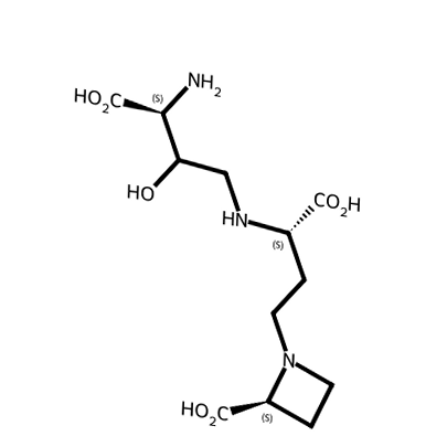 N[C@H](C(=O)O)C(O)CN[C@@H](CCN1CC[C@H]1C(=O)O)C(=O)O